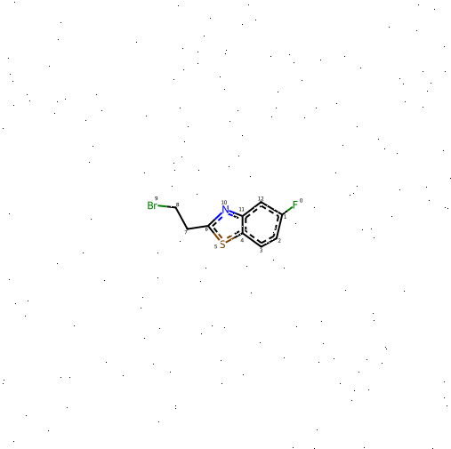 Fc1ccc2sc(CCBr)nc2c1